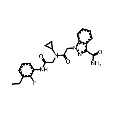 CCc1cccc(NC(=O)CN(C(=O)Cn2nc(C(N)=O)c3ccccc32)C2CC2)c1F